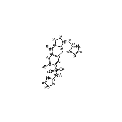 Cc1cc(S(=O)(=O)Nc2cscn2)c(F)cc1N(C)C1CCN(Cc2nccs2)C1